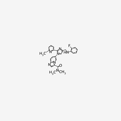 Cc1cccc(-c2nc(CNc3ccccc3F)cn2-c2ccc3ncc(C(=O)N(C)C)n3c2)n1